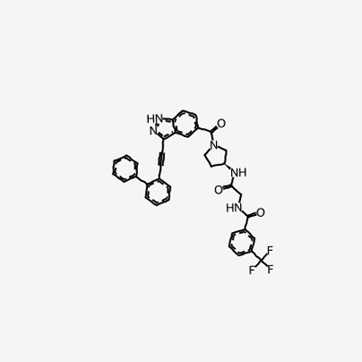 O=C(CNC(=O)c1cccc(C(F)(F)F)c1)N[C@H]1CCN(C(=O)c2ccc3[nH]nc(C#Cc4ccccc4-c4ccccc4)c3c2)C1